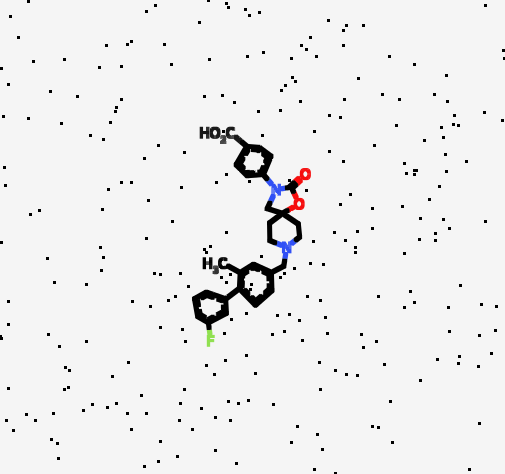 Cc1cc(CN2CCC3(CC2)CN(c2ccc(C(=O)O)cc2)C(=O)O3)ccc1-c1cccc(F)c1